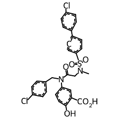 CN(CC(=O)N(Cc1ccc(Cl)cc1)c1ccc(O)c(C(=O)O)c1)S(=O)(=O)c1ccc(-c2ccc(Cl)cc2)cc1